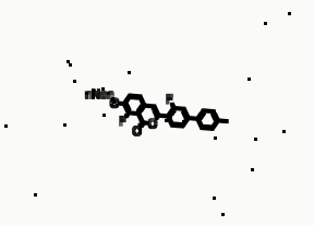 CCCCCCCCCOc1ccc2cc(-c3ccc(-c4ccc(C)cc4)cc3F)oc(=O)c2c1F